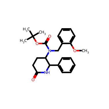 COc1ccccc1CN(C(=O)OC(C)(C)C)C1CCC(=O)NC1c1ccccc1